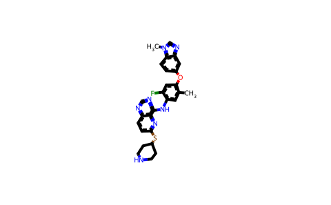 Cc1cc(Nc2ncnc3ccc(SC4CCNCC4)nc23)c(F)cc1Oc1ccc2c(c1)ncn2C